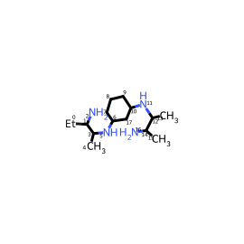 CCC(N)C(C)NC1CCCC(NC(C)C(C)N)C1